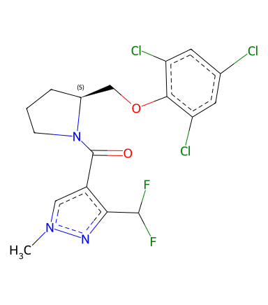 Cn1cc(C(=O)N2CCC[C@H]2COc2c(Cl)cc(Cl)cc2Cl)c(C(F)F)n1